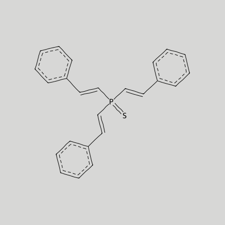 S=P(C=Cc1ccccc1)(C=Cc1ccccc1)C=Cc1ccccc1